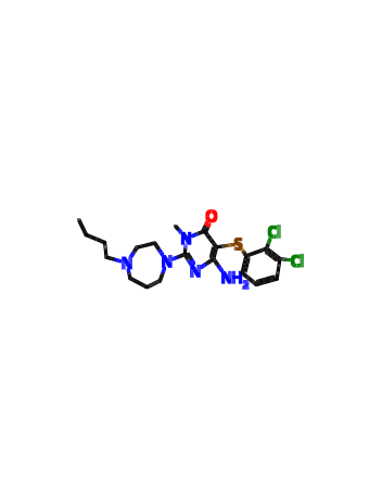 CCCCN1CCCN(c2nc(N)c(Sc3cccc(Cl)c3Cl)c(=O)n2C)CC1